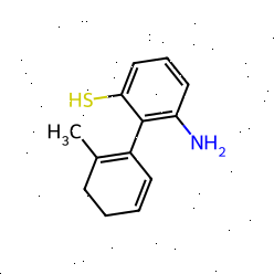 CC1=C(c2c(N)cccc2S)C=CCC1